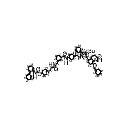 CC(C)(C)[Si](C)(C)O[C@@H](CN(CCc1ccc(NC(=O)c2cccc(CNC(=O)CCN3CCC(OC(=O)Nc4ccccc4-c4ccccc4)CC3)c2)cc1)Cc1ccccc1)c1ccc(OCc2ccccc2)c2[nH]c(=O)ccc12